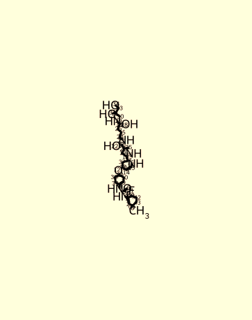 C[C@H]1C=C(NC(=O)NC2=CC[C@@H](O[C@@H]3C=CNC(C4CC([C@@H](O)NCCC[C@H](O)NCC(O)CO)CN4)C3)CC2)[C@@H](F)CC1